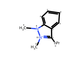 CCCc1c2ccccc2n(C)[n+]1C